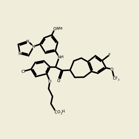 COc1cc(NC(C(=O)C2CCc3cc(F)c(OC(F)(F)F)cc3CC2)c2ccc(Cl)cc2OCCCC(=O)O)cc(-n2cncn2)c1